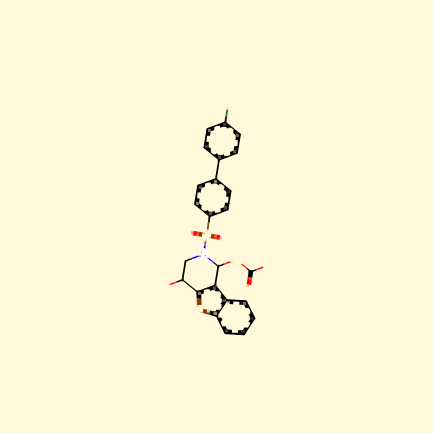 O=C(O)OC1c2c(sc3ccccc23)C(O)CN1S(=O)(=O)c1ccc(-c2ccc(Cl)cc2)cc1